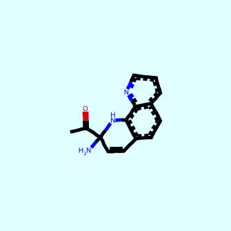 CC(=O)C1(N)C=Cc2ccc3cccnc3c2N1